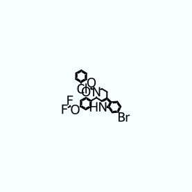 O=C(Oc1ccccc1Cl)N1CCc2c([nH]c3cc(Br)ccc23)C1c1ccc(OC(F)F)cc1